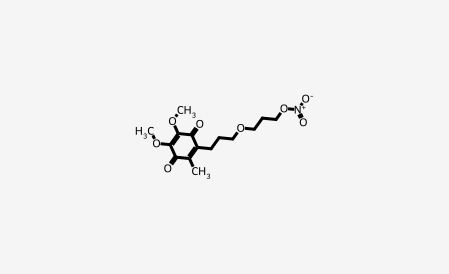 COC1=C(OC)C(=O)C(CCCOCCCO[N+](=O)[O-])=C(C)C1=O